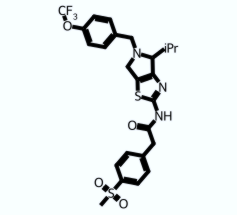 CC(C)C1c2nc(NC(=O)Cc3ccc(S(C)(=O)=O)cc3)sc2CN1Cc1ccc(OC(F)(F)F)cc1